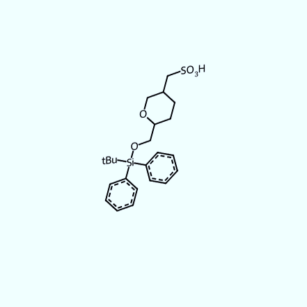 CC(C)(C)[Si](OCC1CCC(CS(=O)(=O)O)CO1)(c1ccccc1)c1ccccc1